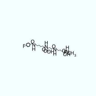 CNP(O)OCCCCNC(=O)CCC(NC(=O)CCCCCNC(=O)c1ccc(F)cc1)C(=O)O